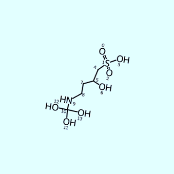 O=S(=O)(O)CC(O)CCNC(O)(O)O